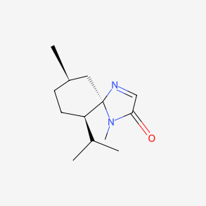 CC(C)[C@H]1CC[C@@H](C)C[C@@]12N=CC(=O)N2C